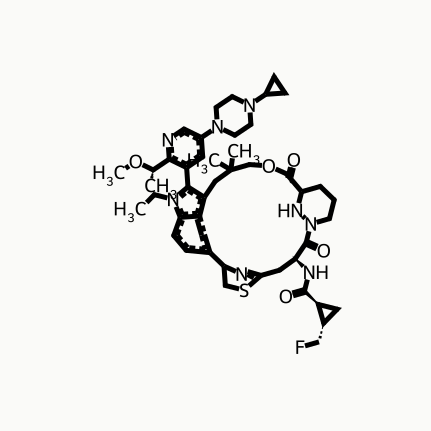 CCn1c(-c2cc(N3CCN(C4CC4)CC3)cnc2[C@H](C)OC)c2c3cc(ccc31)C1CSC(=N1)C[C@H](NC(=O)[C@H]1C[C@@H]1CF)C(=O)N1CCC[C@](C=O)(COCC(C)(C)C2)N1